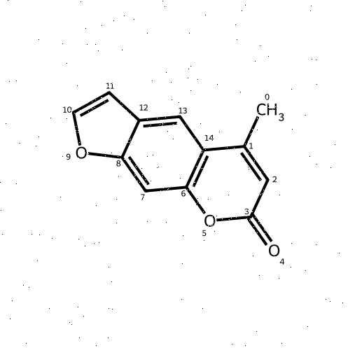 Cc1cc(=O)oc2cc3occc3cc12